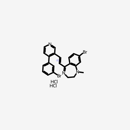 CN1CCN=C(/C=C/c2cnccc2-c2cccc(Br)c2)c2ccc(Br)cc21.Cl.Cl